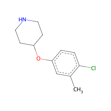 Cc1cc(OC2CCNCC2)ccc1Cl